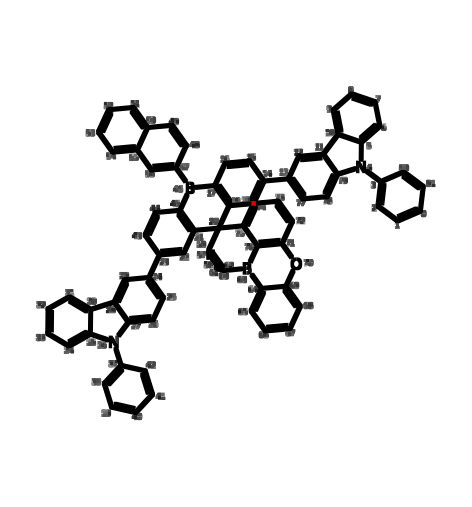 c1ccc(-n2c3ccccc3c3cc(-c4ccc5c(c4)C4(c6cc(-c7ccc8c(c7)c7ccccc7n8-c7ccccc7)ccc6B5c5ccc6ccccc6c5)c5ccccc5B5c6ccccc6Oc6cccc4c65)ccc32)cc1